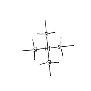 C[Si](C)(C)[Hf]([Si](C)(C)C)([Si](C)(C)C)[Si](C)(C)C